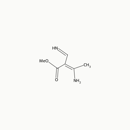 COC(=O)/C(C=N)=C(/C)N